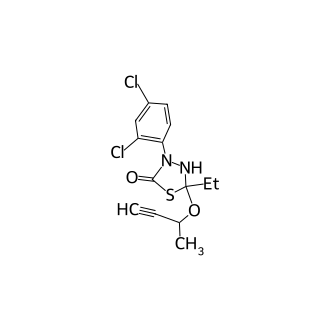 C#CC(C)OC1(CC)NN(c2ccc(Cl)cc2Cl)C(=O)S1